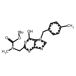 Cc1ccc(Cn2cnc3nc(CN(C)C(=O)OC(C)(C)C)nc(O)c32)cc1